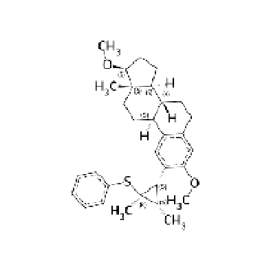 COc1cc2c(cc1[C@@H]1[C@H](C)[C@@]1(C)Sc1ccccc1)[C@H]1CC[C@]3(C)[C@@H](OC)CC[C@H]3[C@@H]1CC2